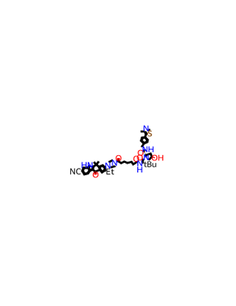 CCc1cc2c(cc1N1CCN(C(=O)CCCCCC(=O)NC(C(=O)N3C[C@H](O)C[C@H]3C(=O)NCc3ccc(-c4scnc4C)cc3)C(C)(C)C)CC1)C(C)(C)c1[nH]c3cc(C#N)ccc3c1C2=O